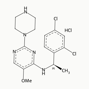 COc1cnc(N2CCNCC2)nc1N[C@H](C)c1ccc(Cl)cc1Cl.Cl